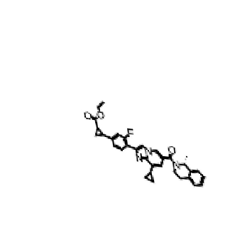 CCOC(=O)C1CC1c1ccc(-c2cn3cc(C(=O)N4CCc5ccccc5[C@H]4C)cc(C4CC4)c3n2)c(F)c1